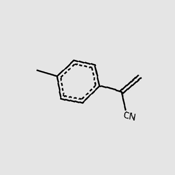 C=C(C#N)c1ccc(C)cc1